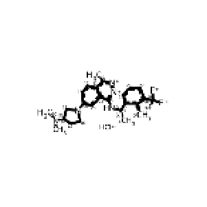 Cc1c([C@@H](C)Nc2nnc(C)c3ccc(N4CC[C@@H](N(C)C)C4)cc23)cccc1C(F)(F)F.Cl